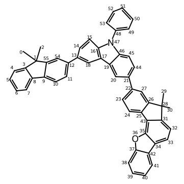 CC1(C)c2ccccc2-c2ccc(-c3ccc4c(c3)c3cc(-c5ccc6c(c5)C(C)(C)c5ccc7c(oc8ccccc87)c5-6)ccc3n4-c3ccccc3)cc21